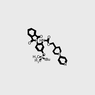 CC(C)(C)[Si](C)(C)Oc1ccc(N2C(=O)c3ccccc3C2=O)c(NC(=O)OCC2CCN(c3ccncc3)CC2)c1